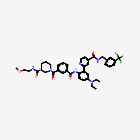 CCN(CC)c1ccc(NC(=O)c2cccc(C(=O)N3CCC[C@H](C(=O)NCCOC)C3)c2)c(-c2cc(C(=O)NCc3cccc(C(F)(F)F)c3)ccn2)c1